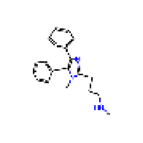 CNCCCc1nc(-c2ccccc2)c(-c2ccccc2)n1C